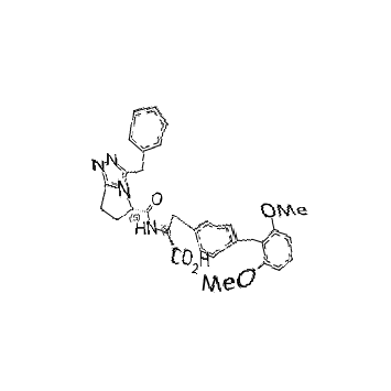 COc1cccc(OC)c1-c1ccc(C[C@H](NC(=O)[C@@H]2CCc3nnc(Cc4ccccc4)n32)C(=O)O)cc1